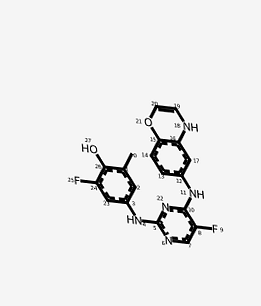 Cc1cc(Nc2ncc(F)c(Nc3ccc4c(c3)NC=CO4)n2)cc(F)c1O